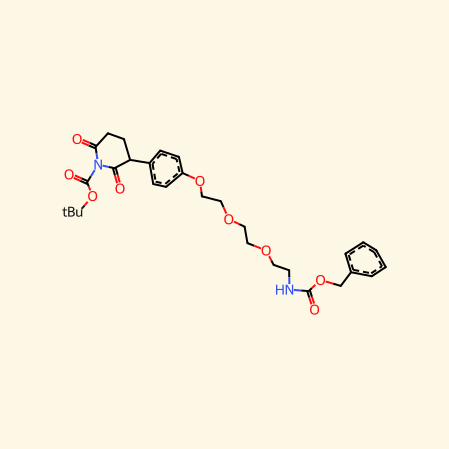 CC(C)(C)OC(=O)N1C(=O)CCC(c2ccc(OCCOCCOCCNC(=O)OCc3ccccc3)cc2)C1=O